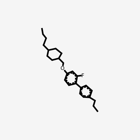 CCCCC1CCC(COc2ccc(-c3ccc(CCC)cc3)c(F)c2)CC1